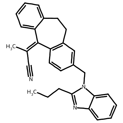 CCCc1nc2ccccc2n1Cc1ccc2c(c1)CCc1ccccc1C2=C(C)C#N